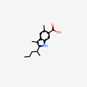 CCCC(C)c1[nH]c2cc(C(=O)O)c(C)cc2c1C